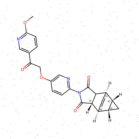 COc1ccc(C(=O)COc2ccc(N3C(=O)C4[C@@H](C3=O)[C@H]3C=C[C@@H]4[C@@H]4C[C@H]34)nc2)cn1